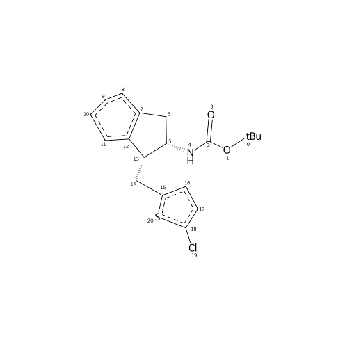 CC(C)(C)OC(=O)N[C@H]1Cc2ccccc2[C@H]1Cc1ccc(Cl)s1